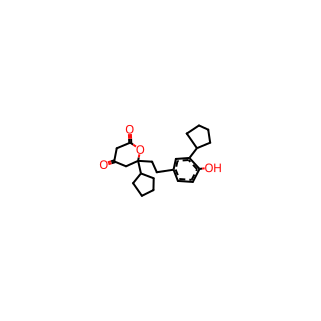 O=C1CC(=O)OC(CCc2ccc(O)c(C3CCCC3)c2)(C2CCCC2)C1